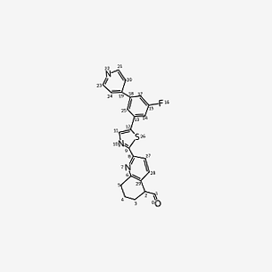 O=CC1CCCc2nc(-c3ncc(-c4cc(F)cc(-c5ccncc5)c4)s3)ccc21